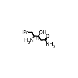 CC(C)C[C@H](N)[C@@H](O)CC(N)=O